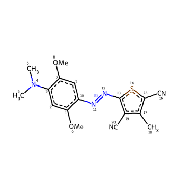 COc1cc(N(C)C)c(OC)cc1/N=N/c1sc(C#N)c(C)c1C#N